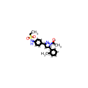 CCS(=O)(=O)Nc1ccc(C2=NN(C(C)=O)C(c3ccccc3C)C2)cc1